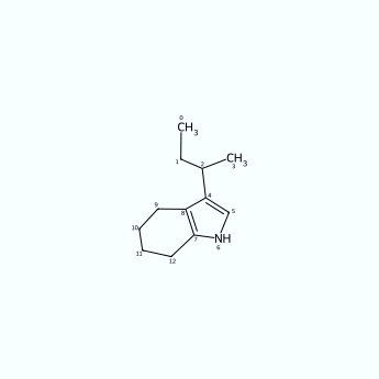 CCC(C)c1c[nH]c2c1CCCC2